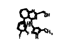 Cc1cc(Nc2nc(CO)nc3cccc(-c4ccc(F)c(F)c4)c23)n[nH]1